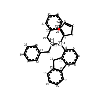 C1=CC[C]([Zr]([c]2cccc3c2Cc2ccccc2-3)[SiH](Cc2ccccc2)Cc2ccccc2)=C1